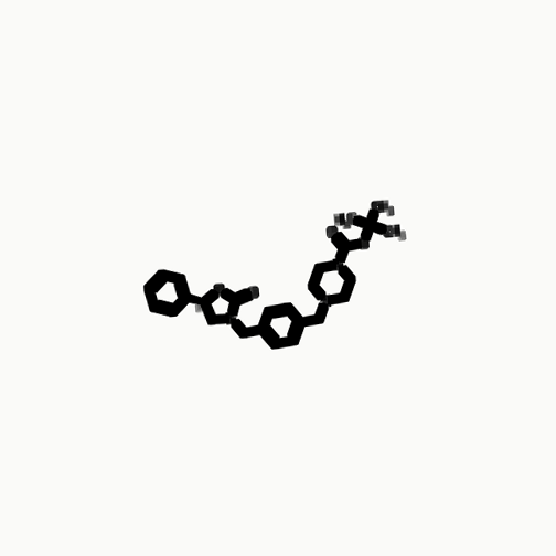 CC(C)(C)OC(=O)N1CCN(Cc2ccc(CN3C[C@@H](c4ccccc4)OC3=O)cc2)CC1